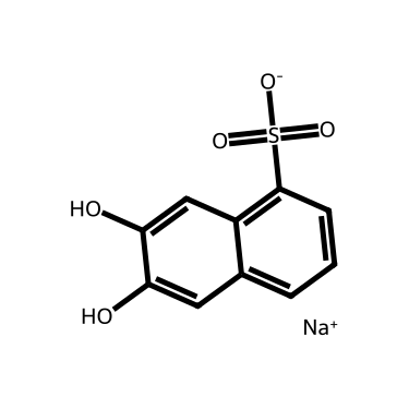 O=S(=O)([O-])c1cccc2cc(O)c(O)cc12.[Na+]